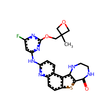 CC1(COc2nc(F)cc(Nc3ccc4c(ccc5sc6c(c54)NCCNC6=O)n3)n2)COC1